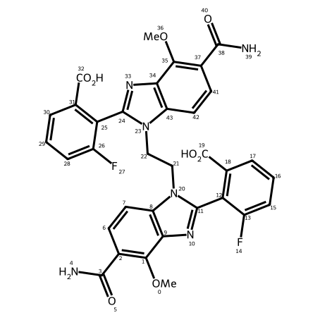 COc1c(C(N)=O)ccc2c1nc(-c1c(F)cccc1C(=O)O)n2CCn1c(-c2c(F)cccc2C(=O)O)nc2c(OC)c(C(N)=O)ccc21